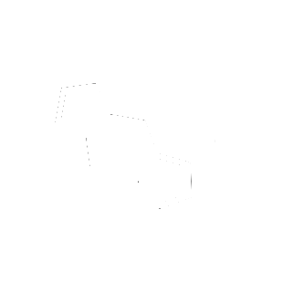 CC1=C([CH]C2=C(C)C=CC2)CC=C1